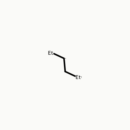 C[C]C[CH]CC